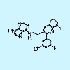 Fc1cc(Cl)cc(-c2nc3c(F)cccc3cc2CCNc2ncnc3[nH]cnc23)c1